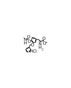 CNC(=O)Oc1ccc(C[C@H](N)C(=O)OC)cc1OCc1ccccc1.Cl